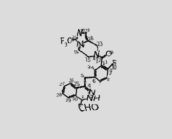 O=CC1NN=C(Cc2ccc(F)c(C(=O)N3CCn4c(cnc4C(F)(F)F)C3)c2)c2ccccc21